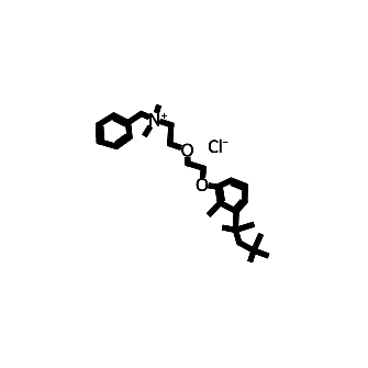 Cc1c(OCCOCC[N+](C)(C)Cc2ccccc2)cccc1C(C)(C)CC(C)(C)C.[Cl-]